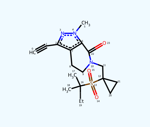 C#Cc1nn(C)c2c1CCN(CC1(S(=O)(=O)C(C)(C)CC)CC1)C2=O